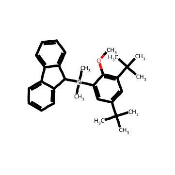 COc1c(C(C)(C)C)cc(C(C)(C)C)cc1[Si](C)(C)C1c2ccccc2-c2ccccc21